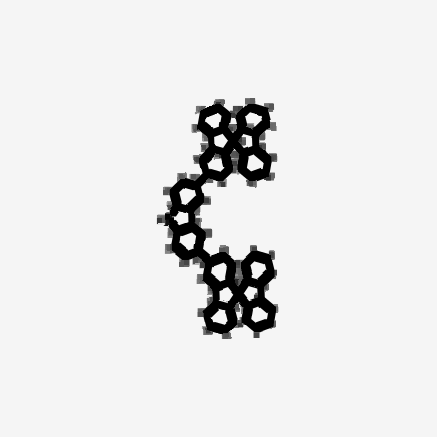 c1ccc2c(c1)-c1ccccc1C21c2ccccc2-c2cc(-c3ccc4sc5ccc(-c6ccc7c(c6)-c6ccccc6C76c7ccccc7-c7ccccc76)cc5c4c3)ccc21